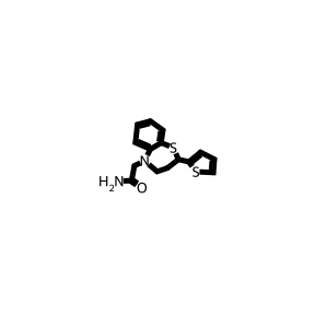 NC(=O)CN1CCC(c2cccs2)Sc2ccccc21